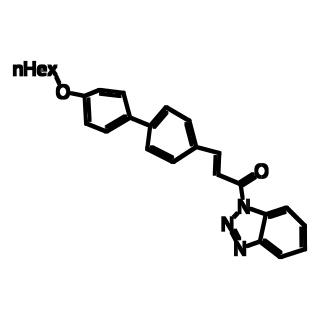 CCCCCCOc1ccc(-c2ccc(/C=C/C(=O)n3nnc4ccccc43)cc2)cc1